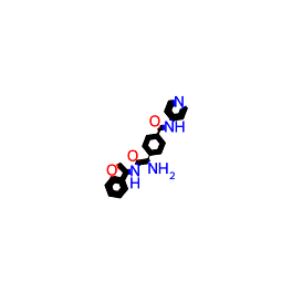 NC(C(=O)NC1COc2ccccc21)[C@H]1CC[C@H](C(=O)Nc2ccncc2)CC1